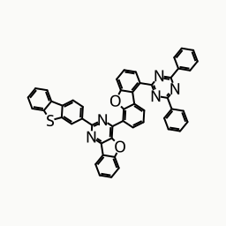 c1ccc(-c2nc(-c3ccccc3)nc(-c3cccc4oc5c(-c6nc(-c7ccc8c(c7)sc7ccccc78)nc7c6oc6ccccc67)cccc5c34)n2)cc1